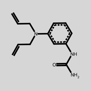 C=CCN(CC=C)c1cccc(NC(N)=O)c1